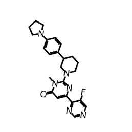 Cn1c(N2CCCC(c3ccc(N4CCCC4)cc3)C2)nc(-c2ncncc2F)cc1=O